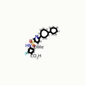 COc1cc(C(=O)O)c(F)cc1NS(=O)(=O)c1ccc(C2CCCCC(C3CCCCCC3)CCC2)nc1